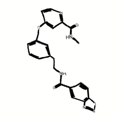 CNC(=O)c1cc(Oc2cccc(CCNC(=O)c3ccc4snnc4c3)c2)ccn1